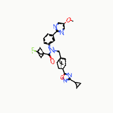 COc1cnc(-c2cccc(N(CC34CCC(c5nc(C6CC6)no5)(CC3)CC4)C(=O)C34CC(F)(C3)C4)c2)nc1